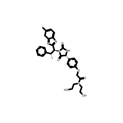 C[C@H](c1ccccc1)[C@@H](C1=NC2=CC=C(I)CC2=N1)N1C(=O)N[C@H](c2ccc(OCC(=O)N(CCO)CCO)cc2)C1=O